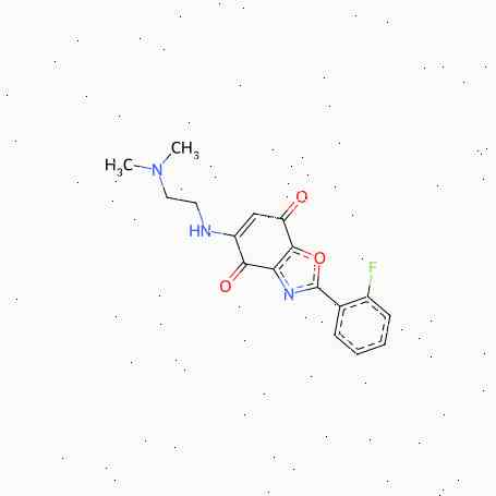 CN(C)CCNC1=CC(=O)c2oc(-c3ccccc3F)nc2C1=O